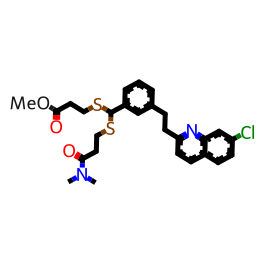 COC(=O)CCSC(SCCC(=O)N(C)C)c1cccc(CCc2ccc3ccc(Cl)cc3n2)c1